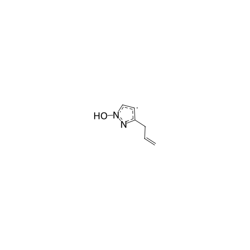 C=CCc1[c]cn(O)n1